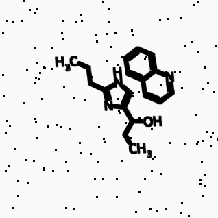 CCCc1nc(C(O)CC)c[nH]1.c1ccc2ncccc2c1